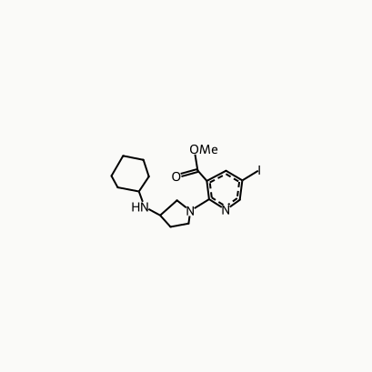 COC(=O)c1cc(I)cnc1N1CCC(NC2CCCCC2)C1